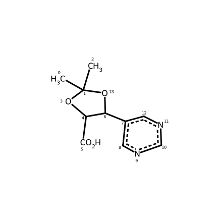 CC1(C)OC(C(=O)O)C(c2cncnc2)O1